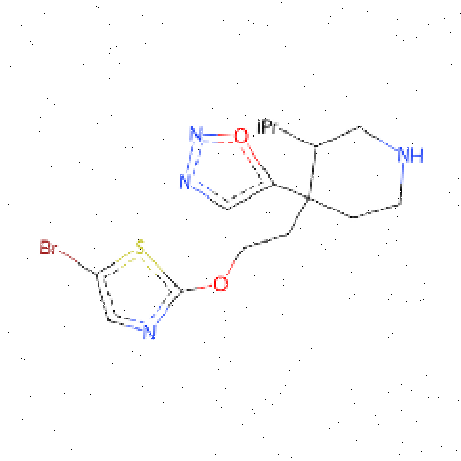 CC(C)C1CNCCC1(CCOc1ncc(Br)s1)c1cnno1